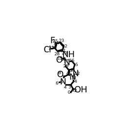 CC(O)C1CN(C)C(=O)c2c3c(nn2C1)CCN(C(=O)Nc1ccc(F)c(Cl)c1)C3